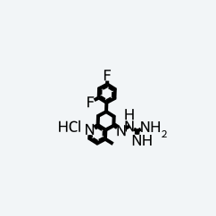 Cc1ccnc2c1C(=NNC(=N)N)CC(c1ccc(F)cc1F)C2.Cl